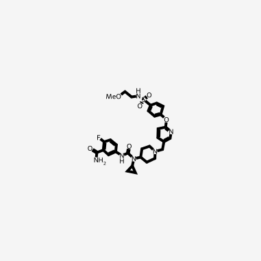 COCCNS(=O)(=O)c1ccc(Oc2ccc(CN3CCC(N(C(=O)Nc4ccc(F)c(C(N)=O)c4)C4CC4)CC3)cn2)cc1